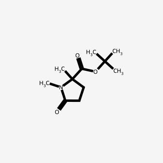 CN1C(=O)CCC1(C)C(=O)OC(C)(C)C